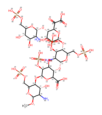 CO[C@H]1OC(COS(=O)(=O)O)[C@@H](O[C@@H]2OC(C(=O)O)[C@@H](O[C@H]3OC(COS(=O)(=O)O)[C@@H](O[C@@H]4OC(C(=O)C(=O)O)[C@@H](O[C@H]5OC(COS(=O)(=O)O)[C@@H](O)[C@H](O)C5N)C(O)[C@@H]4O)[C@H](OS(=O)(=O)O)C3N)C(O)[C@@H]2OS(=O)(=O)O)[C@H](O)C1N